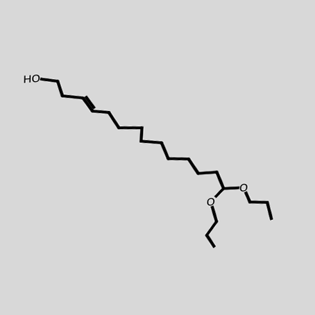 CCCOC(CCCCCCCCC/C=C/CCO)OCCC